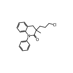 CC1(CCCCl)Cc2ccccc2N(c2ccccc2)C1=O